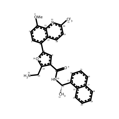 COc1ccc(-c2cc(C(=O)N[C@@H](C)c3cccc4ccccc34)c(CN)o2)c2ccc(C(F)(F)F)nc12